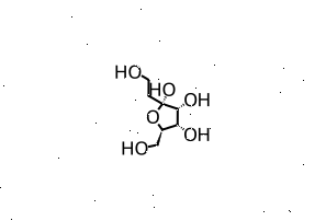 OCC[C@]1(O)O[C@H](CO)[C@@H](O)[C@H]1O